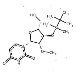 CO[C@H]1[C@H](O[Si](C)(C)C(C)(C)C)[C@@H](CO)O[C@H]1n1ccc(=O)[nH]c1=O